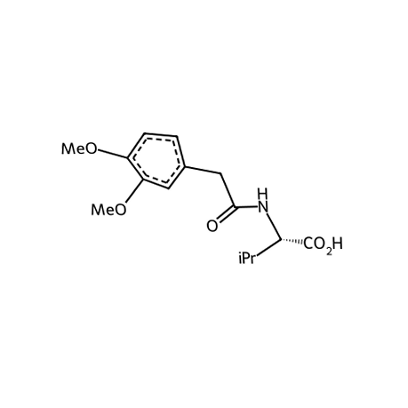 COc1ccc(CC(=O)N[C@H](C(=O)O)C(C)C)cc1OC